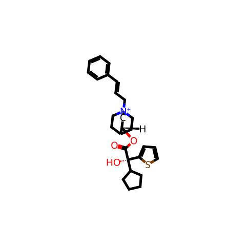 O=C(O[C@H]1C[N+]2(C/C=C/c3ccccc3)CCC1CC2)[C@@](O)(c1cccs1)C1CCCC1